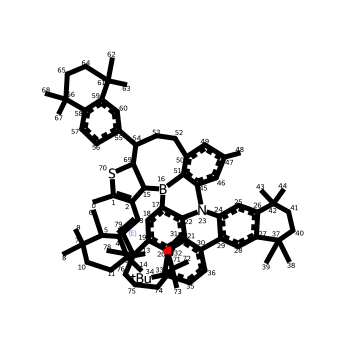 CC1=C(/C=C2\C(C)C(C)(C)CCC2(C)C)C2B3c4cc5c(cc4N(c4cc6c(cc4-c4ccc(C(C)(C)C)cc4)C(C)(C)CCC6(C)C)c4cc(C)cc(c43)CCC(c3ccc4c(c3)C(C)(C)CCC4(C)C)C2S1)C(C)(C)CCCC5(C)C